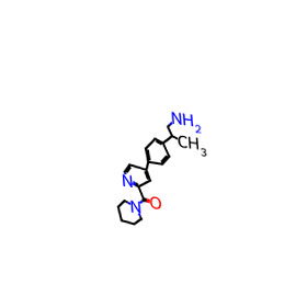 CC(CN)c1ccc(-c2ccnc(C(=O)N3CCCCC3)c2)cc1